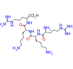 N=C(N)NCCC[C@H](NC(=O)[C@H](CCCCN)NC(=O)[C@H](CCCCN)NC(=O)[C@@H](N)CCCNC(=N)N)C(=O)O